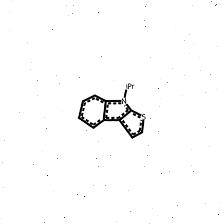 CC(C)n1c2ccccc2c2ccsc21